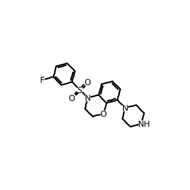 O=S(=O)(c1cccc(F)c1)N1CCOc2c(N3CCNCC3)cccc21